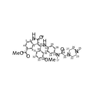 COC(=O)c1ccc2c(c1)/C(=C(/Nc1ccc(N(C)C(=O)CN3CCN(C)CC3)cc1)c1cccc(OC)c1)C(=O)N2